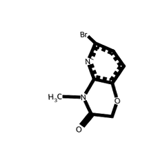 CN1C(=O)COc2ccc(Br)nc21